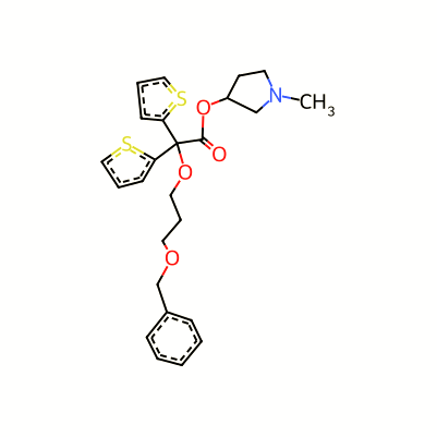 CN1CCC(OC(=O)C(OCCCOCc2ccccc2)(c2cccs2)c2cccs2)C1